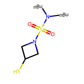 CCCCN(CCCC)S(=O)(=O)N1CC(S)C1